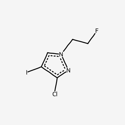 FCCn1cc(I)c(Cl)n1